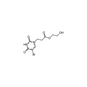 O=C(CCn1cc(Br)c(=O)[nH]c1=O)OCCO